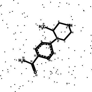 CC1CNCCN1c1ccc(C(N)=O)cc1